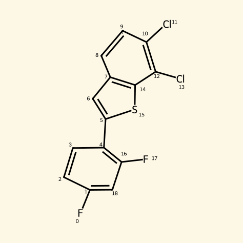 Fc1ccc(-c2cc3c[c]c(Cl)c(Cl)c3s2)c(F)c1